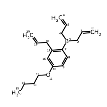 C=CCB(CC=C)c1ccc(OCCCC)cc1CC=C